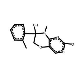 Cc1ccccc1C1(O)COc2cnc(Cl)nc2N1C